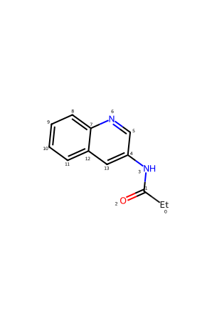 CCC(=O)Nc1cnc2ccccc2c1